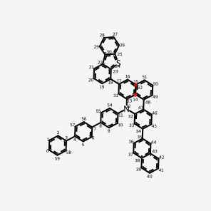 c1ccc(-c2ccc(-c3ccc(N(c4cccc(-c5cccc6c5sc5ccccc56)c4)c4cc(-c5ccc6ccccc6c5)ccc4-c4ccccc4)cc3)cc2)cc1